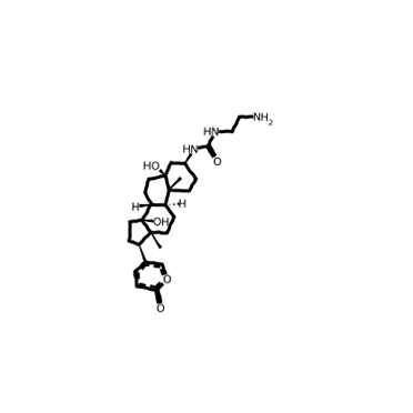 C[C@]12CC[C@H](NC(=O)NCCN)C[C@@]1(O)CC[C@@H]1[C@@H]2CC[C@]2(C)[C@@H](c3ccc(=O)oc3)CC[C@]12O